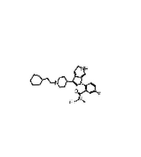 CC(C)N(C)C(=O)c1cc(F)ccc1-n1cc(C2CCN(CCC3CCCCC3)CC2)c2c1=CNCC=2